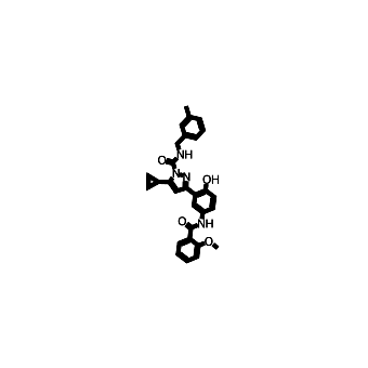 COc1ccccc1C(=O)Nc1ccc(O)c(-c2cc(C3CC3)n(C(=O)NCc3cccc(C)c3)n2)c1